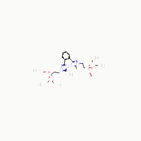 CCO[Si](CCn1nc(-c2ccccc2-c2nc(C)n(CC[Si](OCC)(OCC)OCC)n2)nc1C)(OCC)OCC